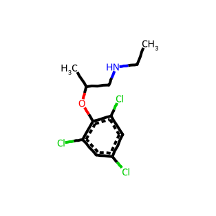 CCNCC(C)Oc1c(Cl)cc(Cl)cc1Cl